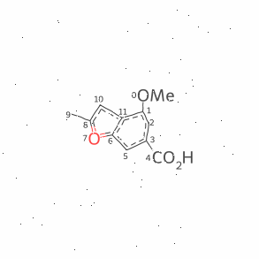 COc1cc(C(=O)O)cc2oc(C)cc12